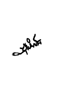 CCC(C)NC(=O)Cn1nc(C)c(C=O)c1C